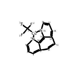 F[C](F)(F)[Cu]1[N]2C=CC=c3ccc4c(c32)[N]1C=CC=4